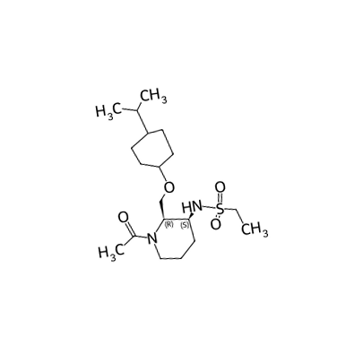 CCS(=O)(=O)N[C@H]1CCCN(C(C)=O)[C@H]1COC1CCC(C(C)C)CC1